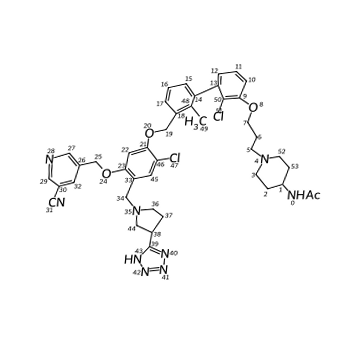 CC(=O)NC1CCN(CCCOc2cccc(-c3cccc(COc4cc(OCc5cncc(C#N)c5)c(CN5CCC(c6nnn[nH]6)C5)cc4Cl)c3C)c2Cl)CC1